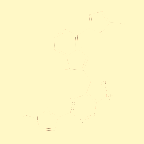 CC(=O)c1ccc(-c2cncc3[nH]c(-c4n[nH]c5cnc(-c6cnn(C)c6)cc45)cc23)s1